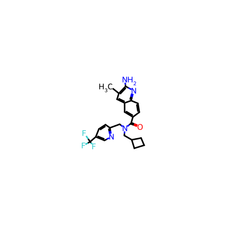 Cc1cc2cc(C(=O)N(Cc3ccc(C(F)(F)F)cn3)CC3CCC3)ccc2nc1N